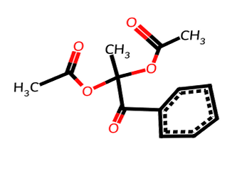 CC(=O)OC(C)(OC(C)=O)C(=O)c1ccccc1